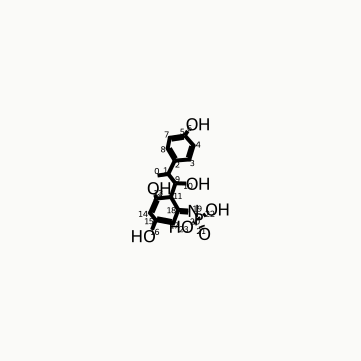 CC(c1ccc(O)cc1)C(O)C1C(O)=CC(O)=C/C1=N\P(=O)(O)O